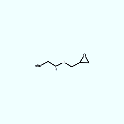 CCCCCPOCC1CO1